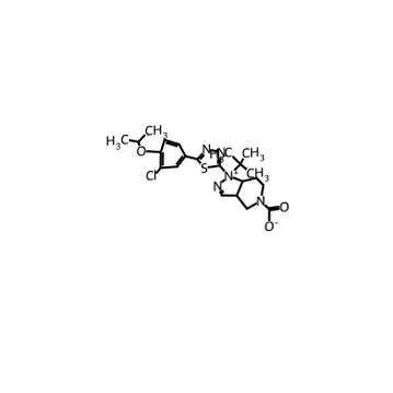 CC(C)Oc1ccc(-c2nnc([N+]3(C(C)(C)C)N=CC4CN(C(=O)[O-])CCC43)s2)cc1Cl